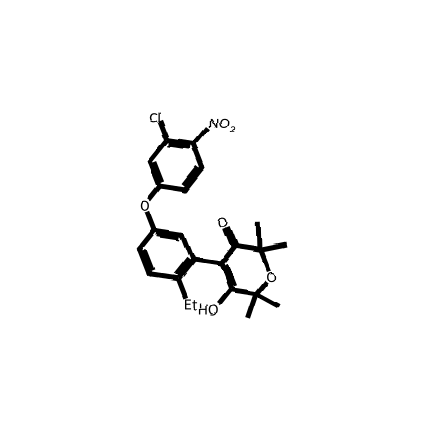 CCc1ccc(Oc2ccc([N+](=O)[O-])c(Cl)c2)cc1C1=C(O)C(C)(C)OC(C)(C)C1=O